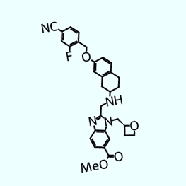 COC(=O)c1ccc2nc(CNC3CCc4ccc(OCc5ccc(C#N)cc5F)cc4C3)n(C[C@@H]3CCO3)c2c1